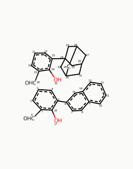 O=Cc1cccc(-c2ccc3ccccc3c2)c1O.O=Cc1cccc(C23CC4CC(CC(C4)C2)C3)c1O